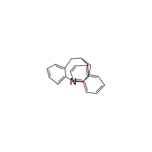 c1ccc2c(c1)CC1Cc3ccccc3N2c2ccccc2C1